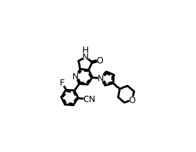 N#Cc1cccc(F)c1-c1cc(-n2ccc(C3CCOCC3)c2)c2c(n1)CNC2=O